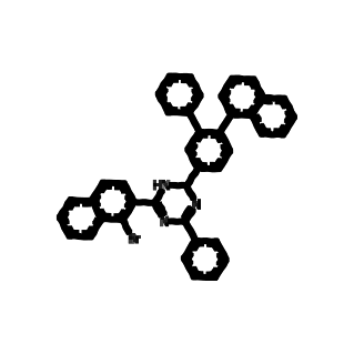 Brc1c(C2=NC(c3ccccc3)=NC(c3ccc(-c4cccc5ccccc45)c(-c4ccccc4)c3)N2)ccc2ccccc12